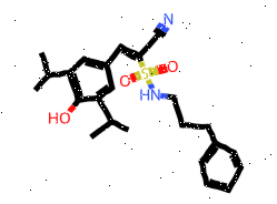 CC(C)c1cc(C=C(C#N)S(=O)(=O)NCCCc2ccccc2)cc(C(C)C)c1O